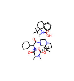 C[C@@H](C(=O)N[C@H](C(=O)N1C[C@H]2CCCN2C[C@H]1CN(C(=O)O)[C@@]1(C(C)(C)C)CCCc2ccccc21)C1CCCCC1)N(C)C(=O)OC(C)(C)C